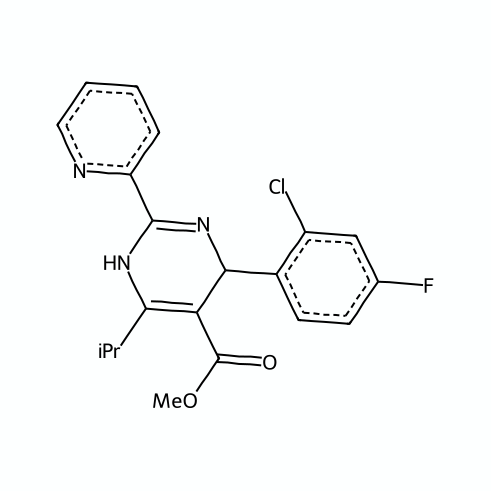 COC(=O)C1=C(C(C)C)NC(c2ccccn2)=NC1c1ccc(F)cc1Cl